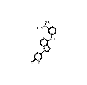 NN(N)c1cccc(Nc2nccn3c(-c4ccc(=O)[nH]c4)cnc23)c1